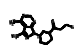 Cc1nn([C@@H]2CCCN(C(=O)CCCl)C2)c2ncnc(N)c12